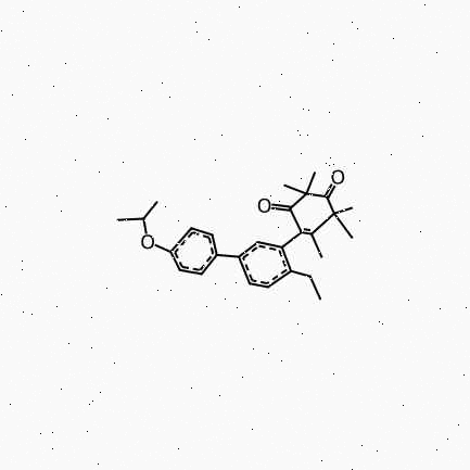 CCc1ccc(-c2ccc(OC(C)C)cc2)cc1C1=C(C)C(C)(C)C(=O)C(C)(C)C1=O